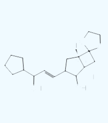 OC(C=CC1C[C@H]2[C@@H](CC23OCCO3)C1O)C1CCCC1